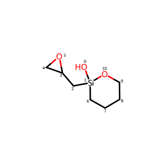 O[Si]1(CC2CO2)CCCCO1